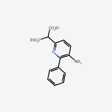 CCOC(=O)C(C(=O)OCC)c1ccc([N+](=O)[O-])c(-c2ccccc2)n1